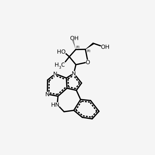 CC1(O)C(n2cc3c4c(ncnc42)NCc2ccccc2-3)O[C@H](CO)[C@H]1O